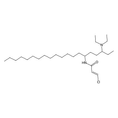 CCCCCCCCCCCCCCC(CCC(CC)N(CC)CC)NC(=O)C=CCl